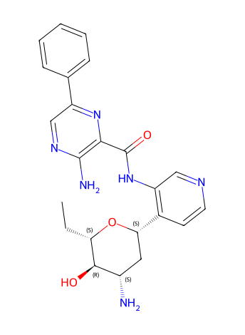 CC[C@@H]1O[C@H](c2ccncc2NC(=O)c2nc(-c3ccccc3)cnc2N)C[C@H](N)[C@H]1O